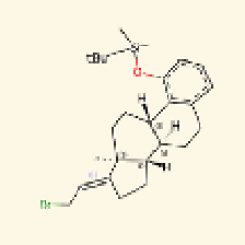 CC(C)(C)[Si](C)(C)Oc1cccc2c1[C@H]1CC[C@]3(C)/C(=C/CBr)CC[C@H]3[C@@H]1CC2